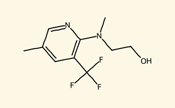 Cc1cnc(N(C)CCO)c(C(F)(F)F)c1